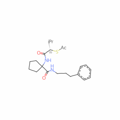 CC(=O)S[C@H](C(=O)NC1(C(=O)NCCCc2ccccc2)CCCC1)C(C)C